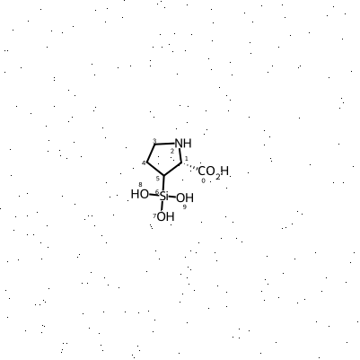 O=C(O)[C@H]1NCCC1[Si](O)(O)O